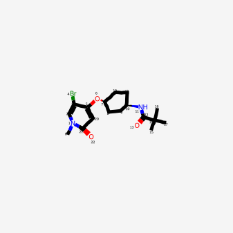 Cn1cc(Br)c(O[C@H]2CC[C@H](NC(=O)C(C)(C)C)CC2)cc1=O